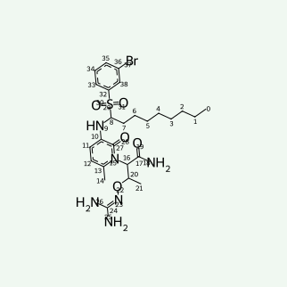 CCCCCCCCC(Nc1ccc(C)n(C(C(N)=O)C(C)ON=C(N)N)c1=O)S(=O)(=O)c1cccc(Br)c1